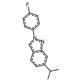 C[C](C)c1ccc2cn(-c3ccc(F)cc3)nc2c1